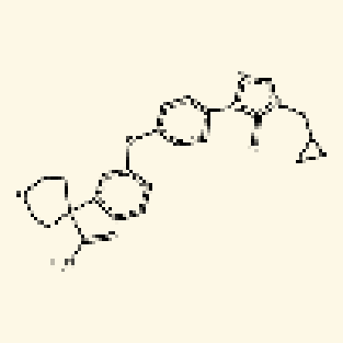 NC(=O)C1(c2cccc(Sc3ccc(-n4ncn(CC5CC5)c4=O)cc3)c2)CCOCC1